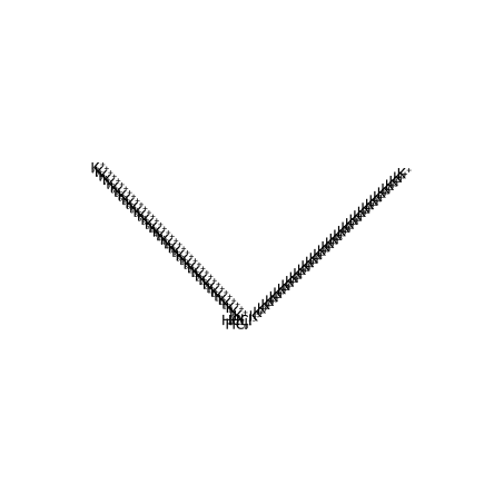 Cl.Cl.Cl.[K+].[K+].[K+].[K+].[K+].[K+].[K+].[K+].[K+].[K+].[K+].[K+].[K+].[K+].[K+].[K+].[K+].[K+].[K+].[K+].[K+].[K+].[K+].[K+].[K+].[K+].[K+].[K+].[K+].[K+].[K+].[K+].[K+].[K+].[K+].[K+].[K+].[K+].[K+].[K+].[K+].[K+].[K+].[K+].[K+].[K+].[K+].[K+].[K+].[K+].[K+].[K+].[K+].[K+].[K+].[K+].[K+].[K+].[K+].[K+].[K+].[K+].[K+].[K+].[K+].[K+].[K+].[K+].[K+].[K+].[K+].[K+].[K+].[K+].[K+].[K+]